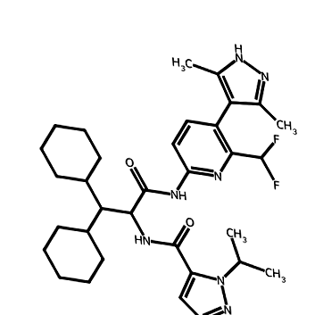 Cc1n[nH]c(C)c1-c1ccc(NC(=O)C(NC(=O)c2ccnn2C(C)C)C(C2CCCCC2)C2CCCCC2)nc1C(F)F